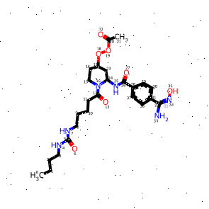 CCCCNC(=O)NCCCCC(=O)N1CCC(OOC(C)=O)CC1NC(=O)c1ccc(/C(N)=N\O)cc1